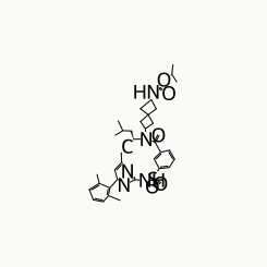 Cc1cccc(C)c1-c1cc2nc(n1)NS(=O)(=O)c1cccc(c1)C(=O)N(C1CC3(CC(NC(=O)OC(C)C)C3)C1)[C@H](CC(C)C)CC2